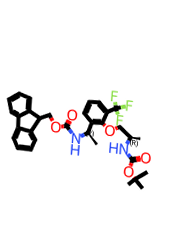 C[C@H](COc1c([C@@H](C)NC(=O)OCC2c3ccccc3-c3ccccc32)cccc1C(F)(F)F)NC(=O)OC(C)(C)C